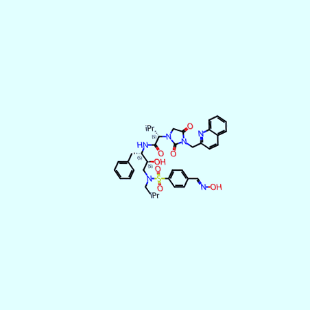 CC(C)CN(C[C@H](O)[C@H](Cc1ccccc1)NC(=O)[C@H](C(C)C)N1CC(=O)N(Cc2ccc3ccccc3n2)C1=O)S(=O)(=O)c1ccc(C=NO)cc1